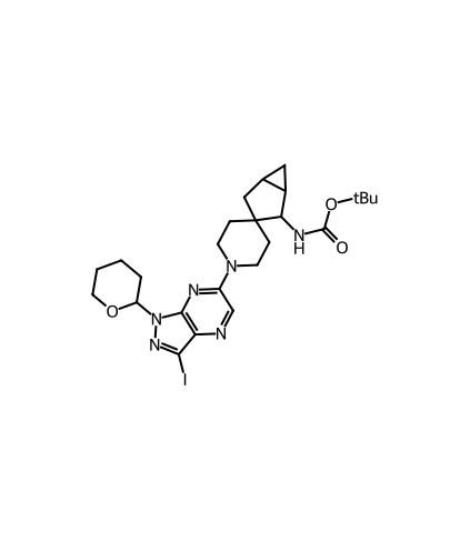 CC(C)(C)OC(=O)NC1C2CC2CC12CCN(c1cnc3c(I)nn(C4CCCCO4)c3n1)CC2